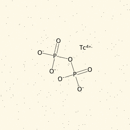 O=P([O-])([O-])OP(=O)([O-])[O-].[Tc+4]